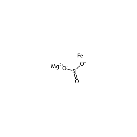 O=[Si]([O-])[O-].[Fe].[Mg+2]